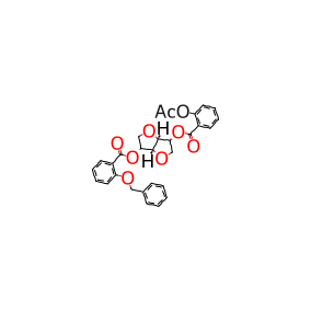 CC(=O)Oc1ccccc1C(=O)O[C@H]1CO[C@H]2[C@@H]1OC[C@H]2OC(=O)c1ccccc1OCc1ccccc1